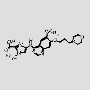 COc1cc2c(Nc3cn(C)c(C(=O)O)n3)ncnc2cc1OCCCN1CCOCC1